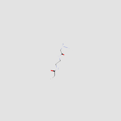 CC(C)N(N)CC(=O)NCCNC(=O)CC(C)(C)C